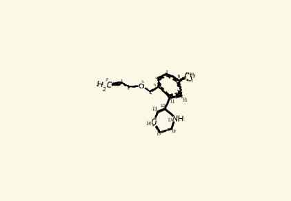 C=CCOCc1ccc(Cl)cc1C1COCCN1